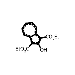 CCOC(=O)c1c2cccccc-2c(C(=O)OCC)c1O